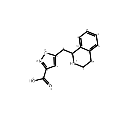 O=C(O)c1cc(CC2NCCc3ccccc32)on1